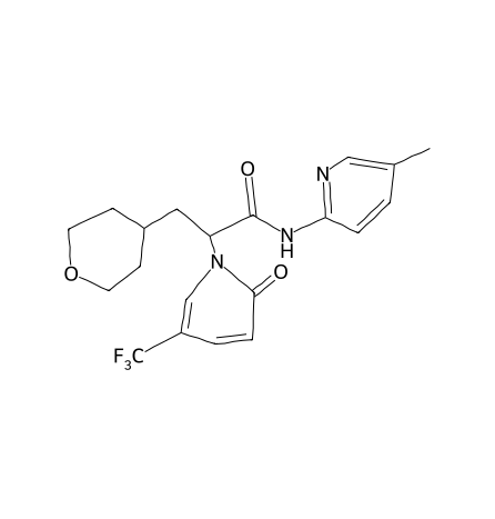 Cc1ccc(NC(=O)C(CC2CCOCC2)n2cc(C(F)(F)F)ccc2=O)nc1